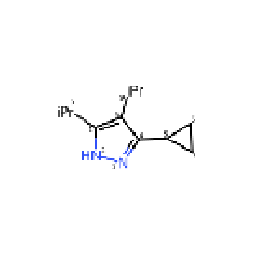 CC(C)c1[nH]nc(C2CC2)c1C(C)C